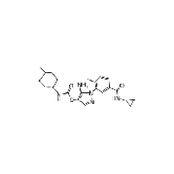 Cc1ccc(C(=O)NC2CC2)cc1-n1ncc(OC(=O)NC2CCC(C)CC2)c1N